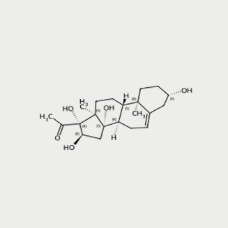 CC(=O)[C@]1(O)[C@H](O)C[C@]2(O)[C@@H]3CC=C4C[C@@H](O)CC[C@]4(C)[C@H]3CC[C@@]21C